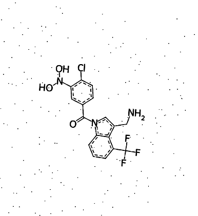 NCc1cn(C(=O)c2ccc(Cl)c(N(O)O)c2)c2cccc(C(F)(F)F)c12